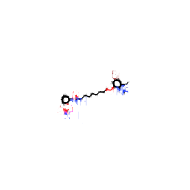 Cc1ncnc2c(OCCCCCCCCC(=O)Nc3ccccc3OC(N)=O)cc(Br)cc12